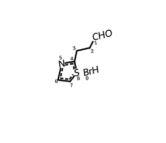 Br.O=CCCc1nccs1